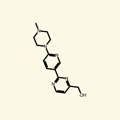 CN1CCN(c2ccc(-c3nccc(CO)n3)cn2)CC1